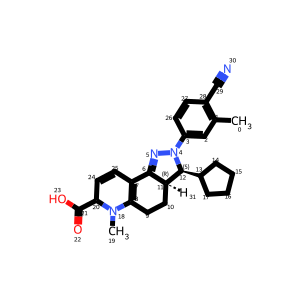 Cc1cc(N2N=C3C4=C(CC[C@@H]3[C@@H]2C2CCCC2)N(C)C(C(=O)O)C=C4)ccc1C#N